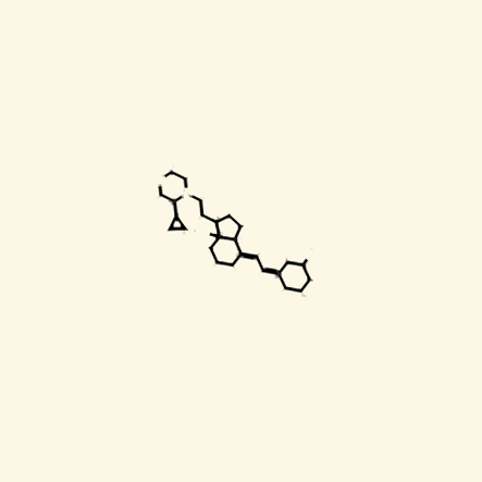 CC12CCC/C(=C\C=C3\CCCC(O)C3)C1CCC2CCN1CCOCC1C1CC1